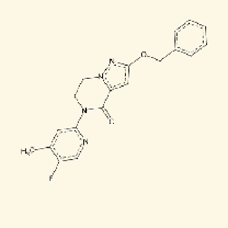 Cc1cc(N2CCn3nc(OCc4ccccc4)cc3C2=O)ncc1F